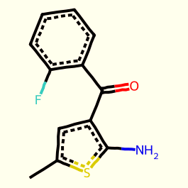 Cc1cc(C(=O)c2ccccc2F)c(N)s1